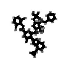 Cc1nc(NCc2c(F)cccc2F)nc(N[C@@H]2C[C@H](CS(C)(=O)=O)[C@@H](OCc3ccccc3)[C@@]2(C)O)c1-c1nc2c(C3CC3)nccc2s1